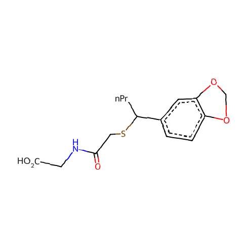 CCCC(SCC(=O)NCC(=O)O)c1ccc2c(c1)OCO2